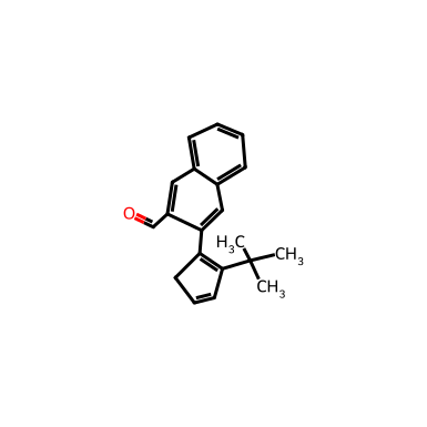 CC(C)(C)C1=C(c2cc3ccccc3cc2C=O)CC=C1